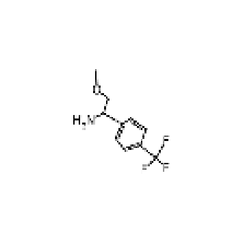 COCC(N)c1ccc(C(F)(F)F)cc1